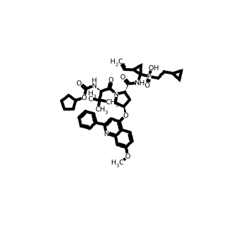 C=CC1CC1(NC(=O)[C@@H]1C[C@@H](Oc2cc(-c3ccccc3)nc3cc(OC)ccc23)CN1C(=O)[C@@H](NC(=O)OC1CCCC1)C(C)(C)C)P(=O)(O)CCC1CC1